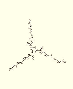 C=COCOCOCOC(=O)c1cc(C(=O)OCOCOCOC=C)cc(C(=O)OCOCOCOC=C)c1